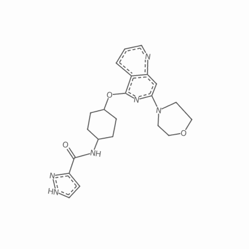 O=C(NC1CCC(Oc2nc(N3CCOCC3)cc3ncccc23)CC1)c1cc[nH]n1